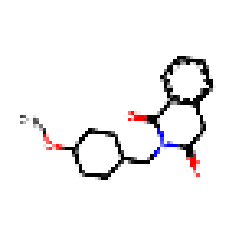 O=COC1CCC(CN2C(=O)Cc3ccccc3C2=O)CC1